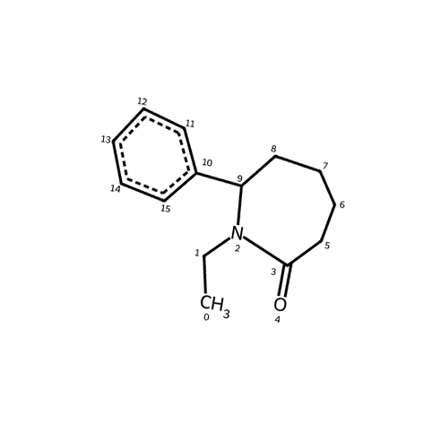 CCN1C(=O)CCCCC1c1ccccc1